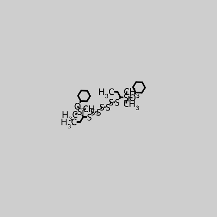 CCC(SSSSSSSC(CC)[Si](C)(C)OC1CCCCC1)[Si](C)(C)OC1CCCCC1